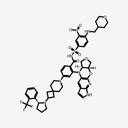 O=C(NS(=O)(=O)c1ccc(NCC2CCOCC2)c([N+](=O)[O-])c1)c1ccc(N2CCC3(CC2)CC(N2CCC[C@H]2c2ccccc2C(F)(F)F)C3)cc1N1c2cc3cc[nH]c3nc2O[C@H]2COC[C@@H]21